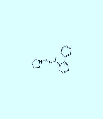 CC(C=CN1CCCC1)c1ccccc1-c1ccccc1